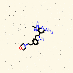 Cc1nc2c(C3Cc4cc(CCN5CCOCC5)ccc4N3)cc(N)nc2[nH]1